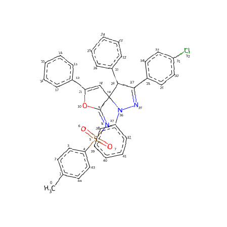 Cc1ccc(S(=O)(=O)/N=C2\OC(c3ccccc3)=CC23C(c2ccccc2)C(c2ccc(Cl)cc2)=NN3c2ccccc2)cc1